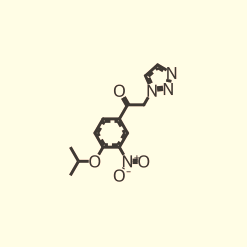 CC(C)Oc1ccc(C(=O)Cn2ccnn2)cc1[N+](=O)[O-]